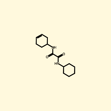 O=C(NC1CC=CCC1)C(=O)NC1CCCCC1